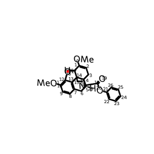 COC1=CCC2[C@@H]3Cc4ccc(OC)c5c4C2(CCN3C(=O)Oc2ccccc2)[C@@H]1O5